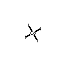 [I][Co]([I])([I])[I]